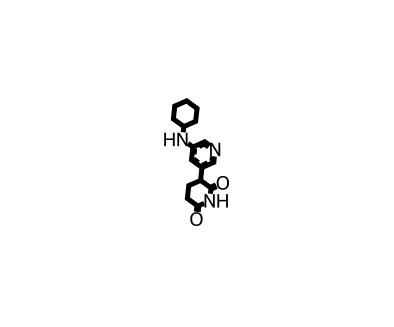 O=C1CCC(c2cncc(NC3CCCCC3)c2)C(=O)N1